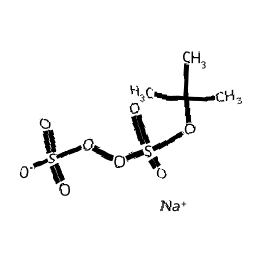 CC(C)(C)OS(=O)(=O)OOS(=O)(=O)[O-].[Na+]